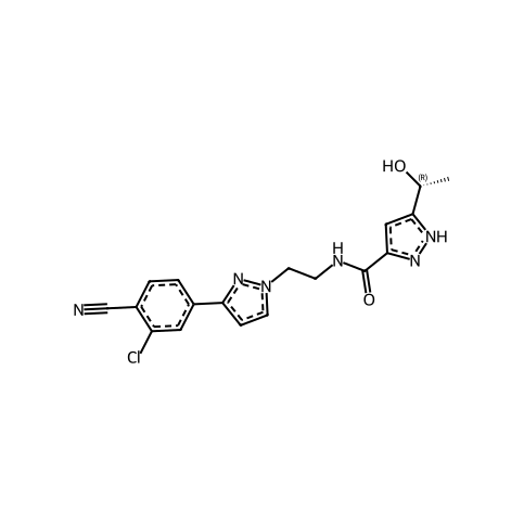 C[C@@H](O)c1cc(C(=O)NCCn2ccc(-c3ccc(C#N)c(Cl)c3)n2)n[nH]1